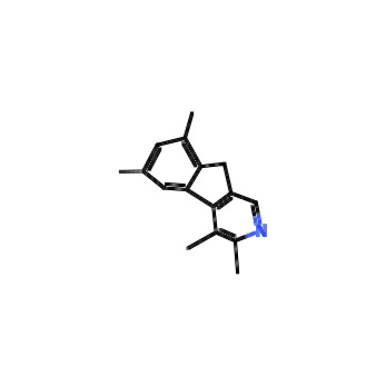 Cc1cc(C)c2c(c1)-c1c(cnc(C)c1C)C2